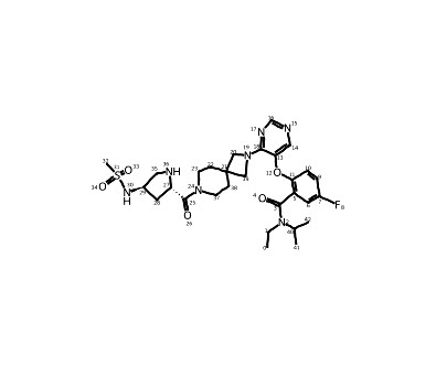 CCN(C(=O)c1cc(F)ccc1Oc1cncnc1N1CC2(CCN(C(=O)[C@@H]3C[C@@H](NS(C)(=O)=O)CN3)CC2)C1)C(C)C